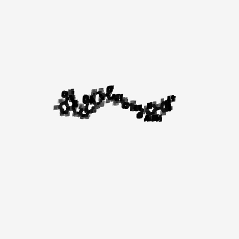 CCn1cc(-c2cnc(C(=O)NCCOCCNCC(=O)N3CCN(C(=O)c4cc(Cc5n[nH]c(=O)c6ccccc56)ccc4F)CC3)c(NC(C)=O)c2)cn1